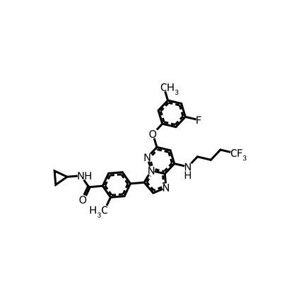 Cc1cc(F)cc(Oc2cc(NCCCC(F)(F)F)c3ncc(-c4ccc(C(=O)NC5CC5)c(C)c4)n3n2)c1